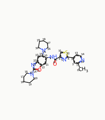 Cc1cc(-c2nc(C(=O)Nc3cc4oc(N5CCCCC5)nc4cc3N3CCCCC3)cs2)ccn1